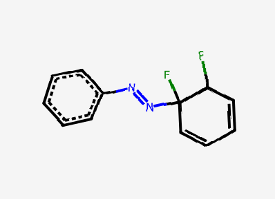 FC1C=CC=CC1(F)/N=N/c1ccccc1